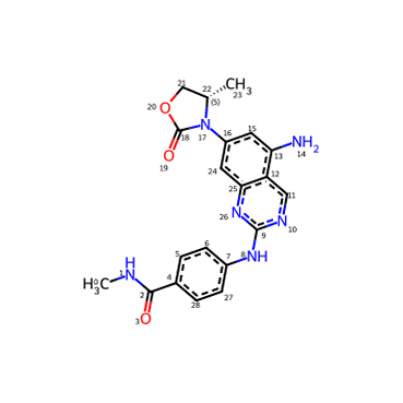 CNC(=O)c1ccc(Nc2ncc3c(N)cc(N4C(=O)OC[C@@H]4C)cc3n2)cc1